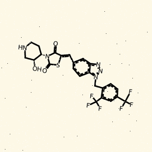 O=C1S/C(=C\c2ccc3c(c2)nnn3Cc2ccc(C(F)(F)F)cc2C(F)(F)F)C(=O)N1[C@H]1CCNC[C@@H]1O